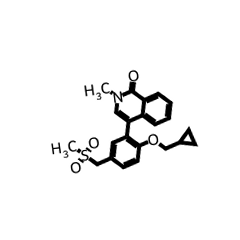 Cn1cc(-c2cc(CS(C)(=O)=O)ccc2OCC2CC2)c2ccccc2c1=O